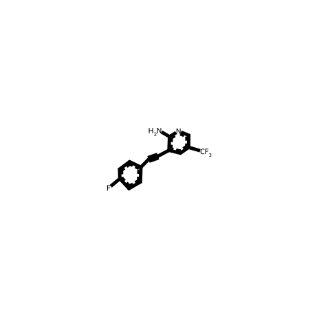 Nc1ncc(C(F)(F)F)cc1C#Cc1ccc(F)cc1